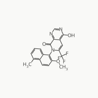 COc1ccc2c(C)cccc2c1-n1c(C(F)(F)F)cc2c(O)ncnc2c1=O